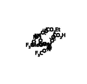 CCOC(=O)C(C)(C)Oc1c(C)cc(CN(Cc2ccc(OC)cc2)c2cc(-c3ccc(C(F)(F)F)cc3)nn2C)cc1C.COc1ccc(CN(Cc2cc(C)c(OC(C)(C)C(=O)O)c(C)c2)c2cc(-c3ccc(C(F)(F)F)cc3)nn2C)cc1